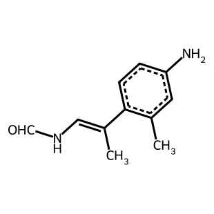 C/C(=C\NC=O)c1ccc(N)cc1C